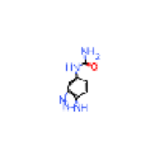 NC(=O)Nc1ccc2[nH]nnc2c1